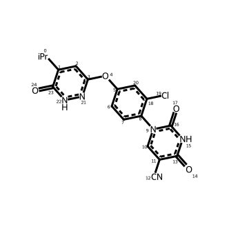 CC(C)c1cc(Oc2ccc(-n3cc(C#N)c(=O)[nH]c3=O)c(Cl)c2)n[nH]c1=O